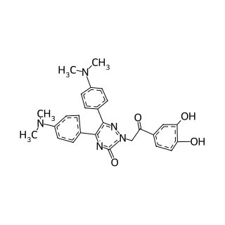 CN(C)c1ccc(-c2nc(=O)n(CC(=O)c3ccc(O)c(O)c3)nc2-c2ccc(N(C)C)cc2)cc1